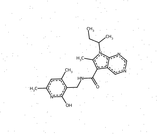 CCC(C)n1c(C)c(C(=O)NCc2c(C)cc(C)nc2O)c2cncnc21